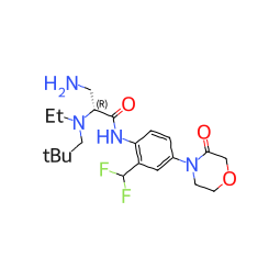 CCN(CC(C)(C)C)[C@H](CN)C(=O)Nc1ccc(N2CCOCC2=O)cc1C(F)F